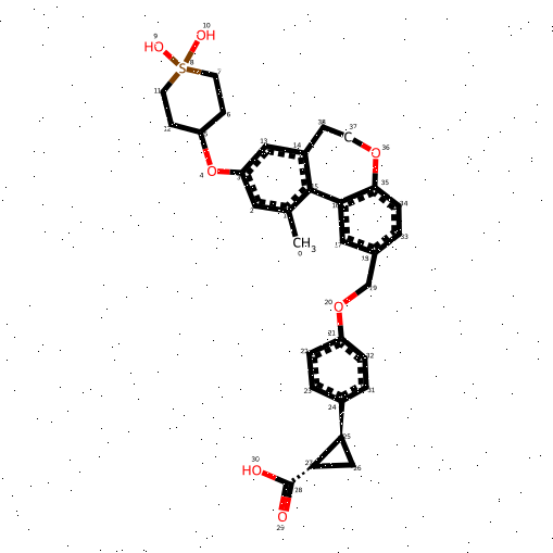 Cc1cc(OC2CCS(O)(O)CC2)cc2c1-c1cc(COc3ccc([C@H]4C[C@@H]4C(=O)O)cc3)ccc1OCC2